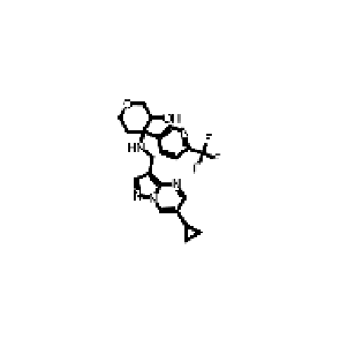 OC1COCCC1(NCc1cnn2cc(C3CC3)cnc12)c1ccc(C(F)(F)F)nc1